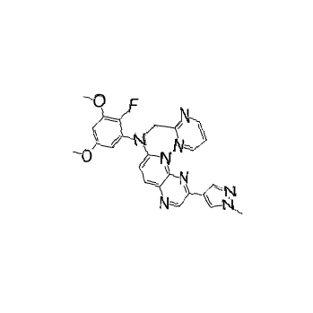 COc1cc(OC)c(F)c(N(Cc2ncccn2)c2ccc3ncc(-c4cnn(C)c4)nc3n2)c1